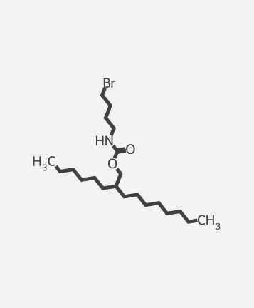 CCCCCCCCC(CCCCCC)COC(=O)NCCCCBr